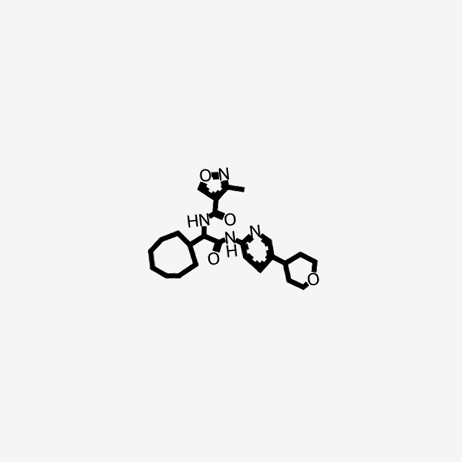 Cc1nocc1C(=O)NC(C(=O)Nc1ccc(C2CCOCC2)cn1)C1CCCCCCC1